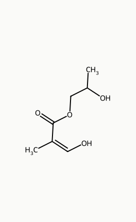 CC(=CO)C(=O)OCC(C)O